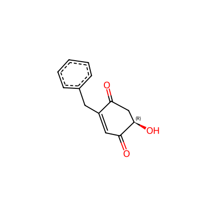 O=C1C[C@@H](O)C(=O)C=C1Cc1ccccc1